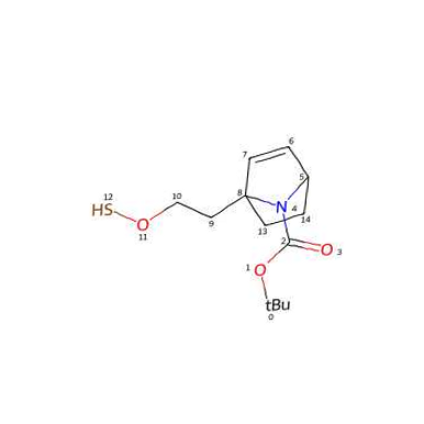 CC(C)(C)OC(=O)N1C2C=CC1(CCOS)CC2